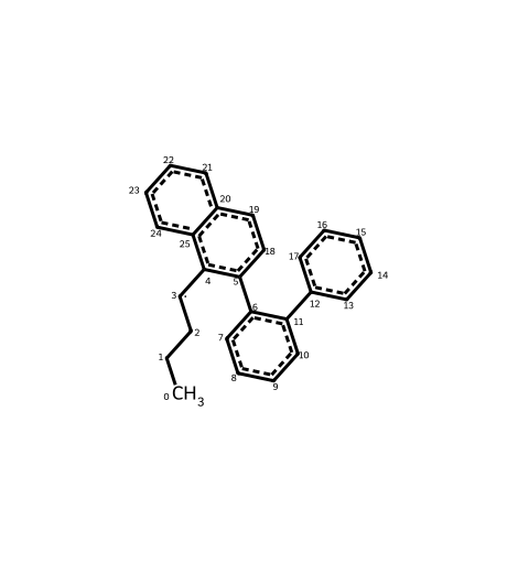 CCC[CH]c1c(-c2ccccc2-c2ccccc2)ccc2ccccc12